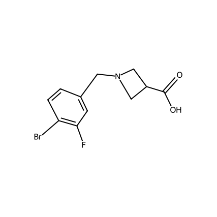 O=C(O)C1CN(Cc2ccc(Br)c(F)c2)C1